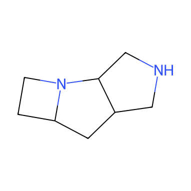 C1NCC2C1CC1CCN12